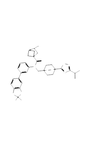 CC(C)c1noc(C23CCC(CN(C(=O)C45CC(C4)[C@@H](F)C5)c4cccc(-c5ccc6c(c5)OC(F)(F)O6)c4)(CC2)CC3)n1